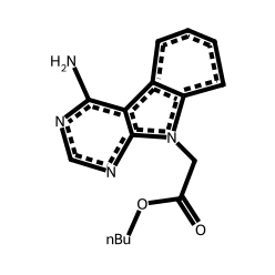 CCCCOC(=O)Cn1c2ccccc2c2c(N)ncnc21